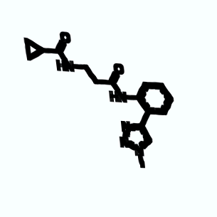 Cn1cc(-c2ccccc2NC(=O)CCNC(=O)C2CC2)nn1